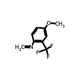 C=Nc1ccc(OC)cc1C(F)(F)F